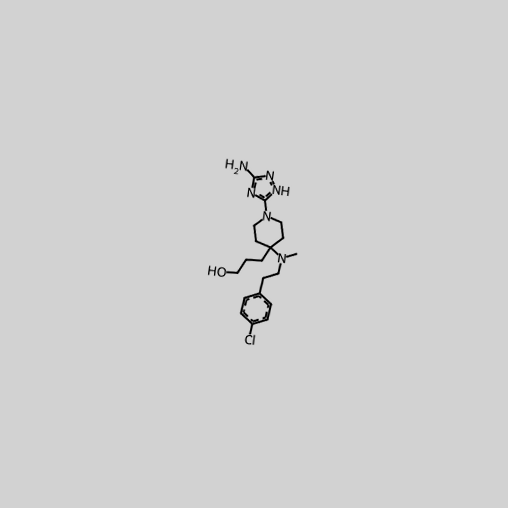 CN(CCc1ccc(Cl)cc1)C1(CCCO)CCN(c2nc(N)n[nH]2)CC1